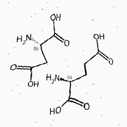 N[C@@H](CC(=O)O)C(=O)O.N[C@@H](CCC(=O)O)C(=O)O